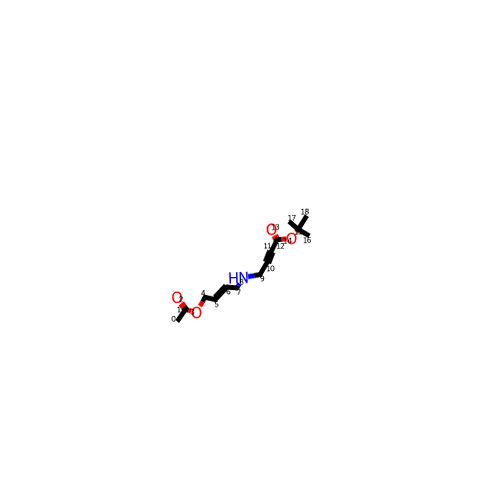 CC(=O)OCC=CCNCC#CC(=O)OC(C)(C)C